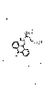 CC(CCC(=O)O)C(=O)O.O=C1c2ccccc2C(=O)c2ccccc21